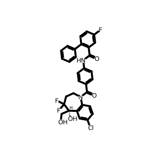 O=C(Nc1ccc(C(=O)N2CCC(F)(F)[C@](O)(CO)c3cc(Cl)ccc32)cc1)c1cc(F)ccc1-c1ccccc1